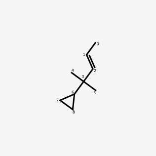 CC=CC(C)(C)C1[CH]C1